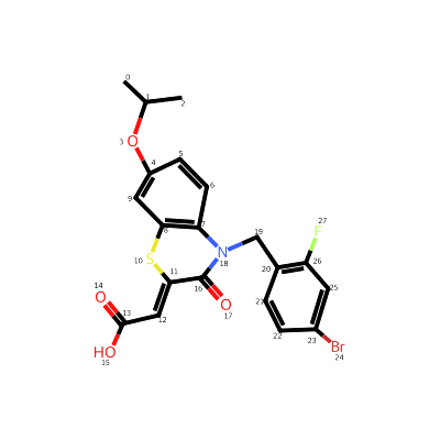 CC(C)Oc1ccc2c(c1)SC(=CC(=O)O)C(=O)N2Cc1ccc(Br)cc1F